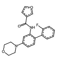 O=C(Nc1cc(N2CCOCC2)ccc1-c1ccccc1F)c1ccoc1